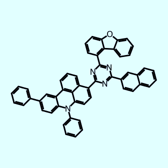 c1ccc(-c2ccc3c(c2)-c2cccc4c(-c5nc(-c6ccc7ccccc7c6)nc(-c6cccc7oc8ccccc8c67)n5)ccc(c24)N3c2ccccc2)cc1